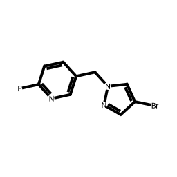 Fc1ccc(Cn2cc(Br)cn2)cn1